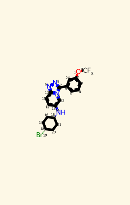 FC(F)(F)Oc1cccc(-c2nnc3ccc(N[C@H]4CC[C@@H](Br)CC4)cn23)c1